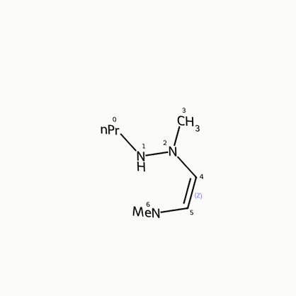 CCCNN(C)/C=C\NC